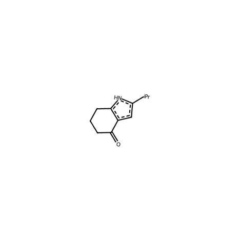 CC(C)c1cc2c([nH]1)CCCC2=O